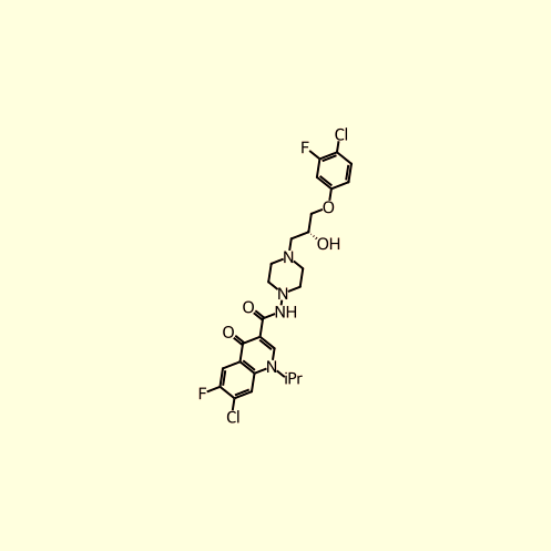 CC(C)n1cc(C(=O)NN2CCN(C[C@@H](O)COc3ccc(Cl)c(F)c3)CC2)c(=O)c2cc(F)c(Cl)cc21